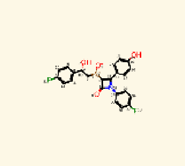 O=C1C([S@+]([O-])C[C@@H](O)c2ccc(F)cc2)C(c2ccc(O)cc2)N1c1ccc(F)cc1